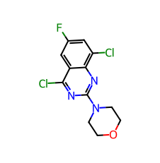 Fc1cc(Cl)c2nc(N3CCOCC3)nc(Cl)c2c1